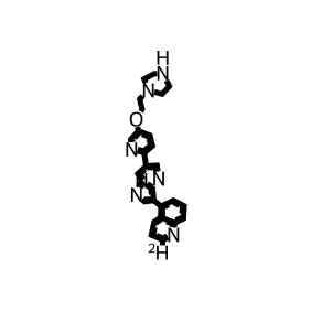 [2H]c1ccc2c(-c3cnn4cc(-c5ccc(OCCN6CCNCC6)cn5)cnc34)cccc2n1